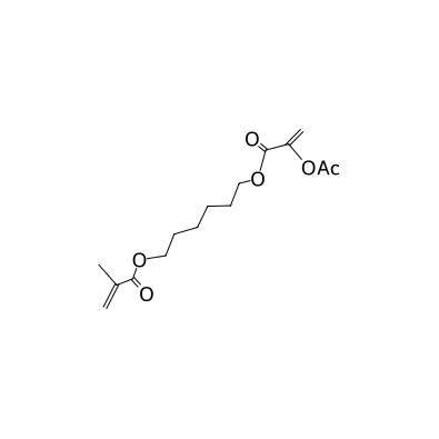 C=C(C)C(=O)OCCCCCCOC(=O)C(=C)OC(C)=O